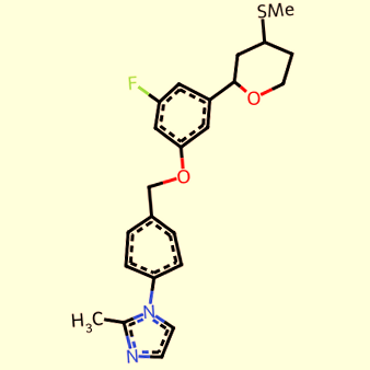 CSC1CCOC(c2cc(F)cc(OCc3ccc(-n4ccnc4C)cc3)c2)C1